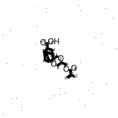 C=C(C)C(=O)OCC1COC2(CO1)C1CC3CC2CC(C(=O)O)(C3)C1